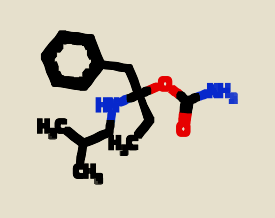 CC[C@](Cc1ccccc1)(NCC(C)C)OC(N)=O